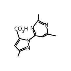 Cc1cc(-n2nc(C)cc2C(=O)O)nc(C)n1